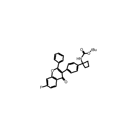 CC(C)(C)OC(=O)NC1(c2ccc(-c3c(-c4ccccc4)oc4cc(F)ccc4c3=O)cc2)CCC1